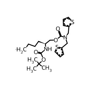 [CH2]CCC[C@@H](COC(=O)N(Cc1cccs1)Cc1cccs1)NC(=O)OC(C)(C)C